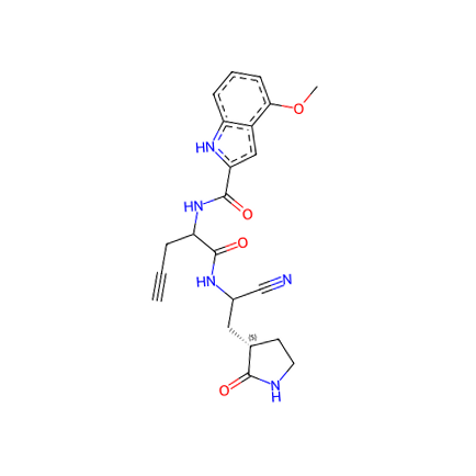 C#CCC(NC(=O)c1cc2c(OC)cccc2[nH]1)C(=O)NC(C#N)C[C@@H]1CCNC1=O